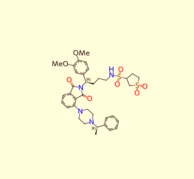 COc1ccc([C@@H](CCCNS(=O)(=O)C2CCS(=O)(=O)C2)N2C(=O)c3cccc(N4CCN([C@H](C)c5ccccc5)CC4)c3C2=O)cc1OC